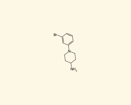 NC1CCN(c2cccc(Br)c2)CC1